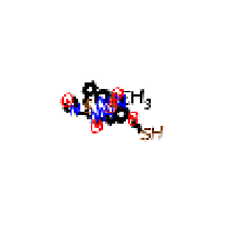 CN(c1cc(OCCCS)cc2cc(C(=O)NCC(CN3CCOCC3)SCc3ccccc3)[nH]c12)S(=O)(=O)c1ccccn1